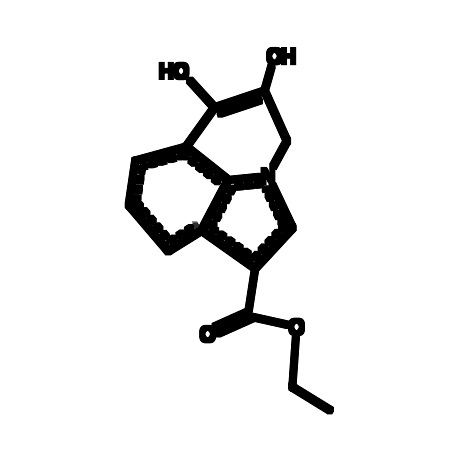 CCOC(=O)c1cn2c3c(cccc13)C(O)=C(O)C2